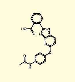 CC(=O)Nc1ccc(Oc2ccc3nc(-c4ccccc4C(=O)O)oc3c2)cc1